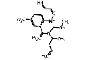 C=CCC(C)N(CNC)C(=C)c1cc(C)ccc1N/N=C\C=N